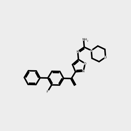 C=C(c1ccc(-c2ccccc2)c(F)c1)c1cc(/N=C(/N)N2CCOCC2)on1